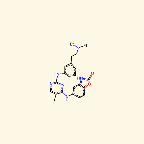 CCN(CC)CCc1cccc(Nc2ncc(C)c(Nc3ccc4oc(=O)[nH]c4c3)n2)c1